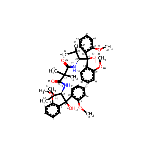 COc1ccccc1C(O)(c1ccccc1OC)[C@H](NC(=O)C(C)(C)C(=O)N[C@H](C(C)C)C(O)(c1ccccc1OC)c1ccccc1OC)C(C)C